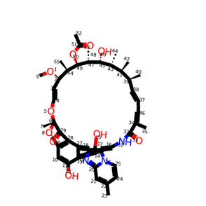 CO[C@H]1/C=C/O[C@@]2(C)Oc3cc(O)c4c(O)c(c5c(nc6cc(C)ccn65)c4c3C2=O)NC(=O)/C(C)=C\C=C\[C@H](C)[C@H](C)[C@@H](C)[C@@H](O)[C@@H](C)[C@H](OC(C)=O)[C@@H]1C